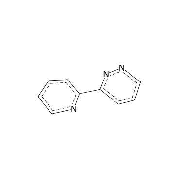 c1ccc(-c2cccnn2)nc1